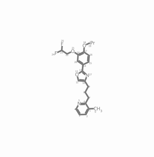 Cc1cccnc1CCCc1coc(-c2ccc(OC(C)C)c(OCC(F)F)c2)n1